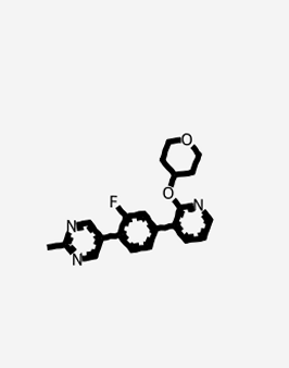 Cc1ncc(-c2ccc(-c3cccnc3OC3CCOCC3)cc2F)cn1